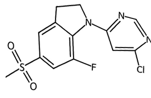 CS(=O)(=O)c1cc(F)c2c(c1)CCN2c1cc(Cl)ncn1